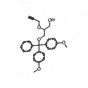 C#CCOC(CO)COC(c1ccccc1)(c1ccc(OC)cc1)c1ccc(OC)cc1